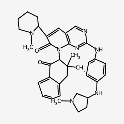 CN1CCC(Nc2ccc(Nc3ncc4cc(C5CCCCN5C)c(=O)n(C5C(=O)c6ccccc6CC5(C)C)c4n3)cc2)C1